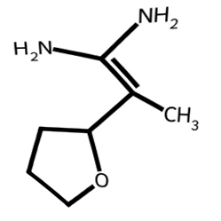 CC(=C(N)N)C1CCCO1